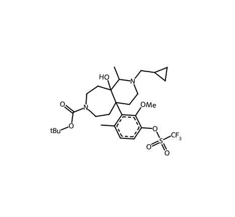 COc1c(OS(=O)(=O)C(F)(F)F)ccc(C)c1C12CCN(C(=O)OC(C)(C)C)CCC1(O)C(C)N(CC1CC1)CC2